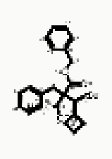 CC(C)(C)C(C1CCC1)C(Cc1ccccc1)(C(=O)OCc1ccccc1)C(C(=O)O)C(=O)O